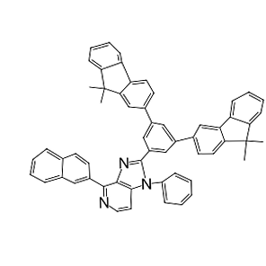 CC1(C)c2ccccc2-c2cc(-c3cc(-c4ccc5c(c4)C(C)(C)c4ccccc4-5)cc(-c4nc5c(-c6ccc7ccccc7c6)nccc5n4-c4ccccc4)c3)ccc21